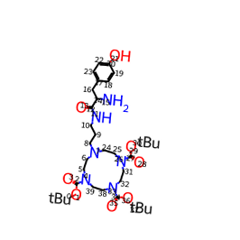 CC(C)(C)OC(=O)N1CCN(CCCNC(=O)C(N)Cc2ccc(O)cc2)CCN(C(=O)OC(C)(C)C)CCN(C(=O)OC(C)(C)C)CC1